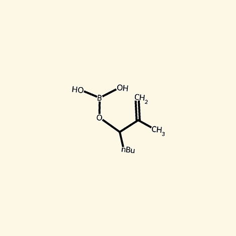 C=C(C)C(CCCC)OB(O)O